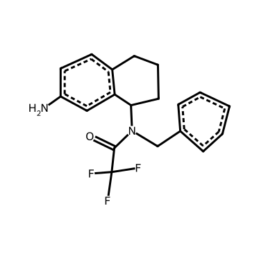 Nc1ccc2c(c1)C(N(Cc1ccccc1)C(=O)C(F)(F)F)CCC2